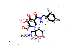 CN(C)CC1(n2cc(C(=O)NCc3ccc(F)cc3F)c(=O)c(O)c2C=O)CCCOC1